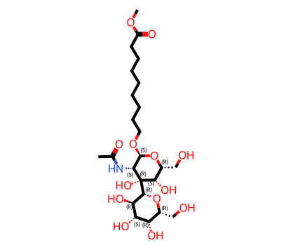 COC(=O)CCCCCCCCO[C@H]1O[C@H](CO)[C@H](O)[C@@](O)([C@@H]2O[C@H](CO)[C@H](O)[C@H](O)[C@H]2O)[C@@H]1NC(C)=O